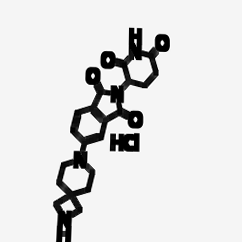 Cl.O=C1CCC(N2C(=O)c3ccc(N4CCC5(CC4)CNC5)cc3C2=O)C(=O)N1